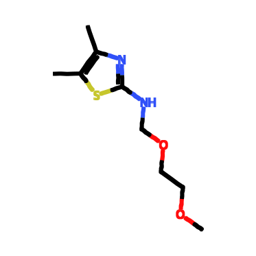 COCCOCNc1nc(C)c(C)s1